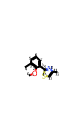 COc1c(C)cccc1-c1nc(C)cs1